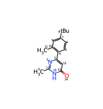 Cc1nc(-c2ccc(C(C)(C)C)cc2C)cc(=O)[nH]1